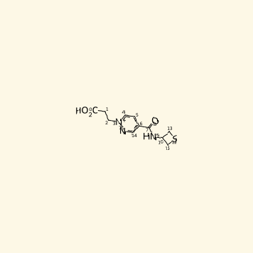 O=C(O)CC[n+]1ccc(C(=O)NC2CSC2)cn1